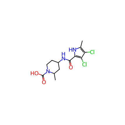 Cc1[nH]c(C(=O)NC2CCN(C(=O)O)C(C)C2)c(Cl)c1Cl